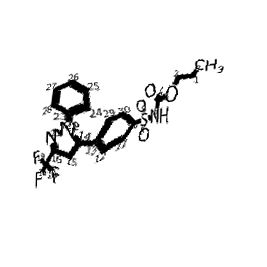 CCCOC(=O)NS(=O)(=O)c1ccc(C2CC(C(F)(F)F)=NN2c2ccccc2)cc1